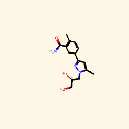 Cc1ccc(-c2cc(C)n(C[C@H](O)CO)n2)cc1C(N)=O